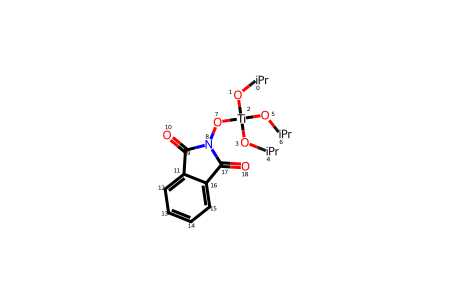 CC(C)[O][Ti]([O]C(C)C)([O]C(C)C)[O]N1C(=O)c2ccccc2C1=O